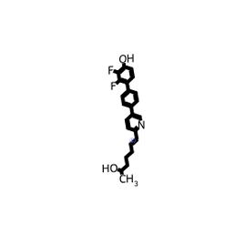 CC(O)CCC/C=C/c1ccc(-c2ccc(-c3ccc(O)c(F)c3F)cc2)cn1